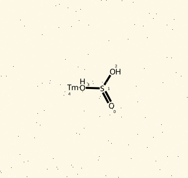 O=S(O)O.[Tm]